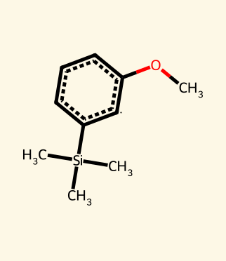 COc1[c]c([Si](C)(C)C)ccc1